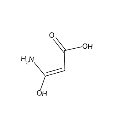 N/C(O)=C\C(=O)O